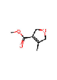 COC(=O)C1=C(C)COC1